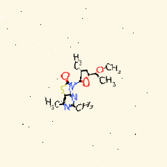 COC(C)[C@@H]1C[C@@H](C)[C@H](n2c(=O)sc3c(C)nc(C)nc32)O1